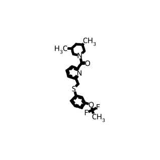 CC1CC(C)CN(C(=O)c2cccc(CSc3cccc(OC(C)(F)F)c3)n2)C1